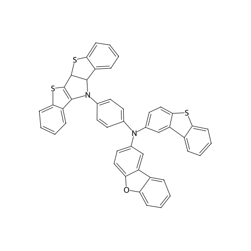 c1ccc2c(c1)SC1c3sc4ccccc4c3N(c3ccc(N(c4ccc5oc6ccccc6c5c4)c4ccc5sc6ccccc6c5c4)cc3)C21